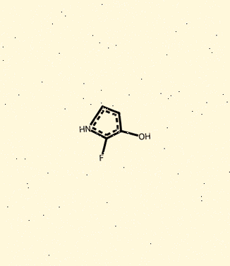 Oc1cc[nH]c1F